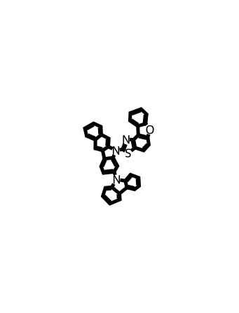 c1ccc2cc3c(cc2c1)c1ccc(-n2c4ccccc4c4ccccc42)cc1n3-c1nc2c(ccc3oc4ccccc4c32)s1